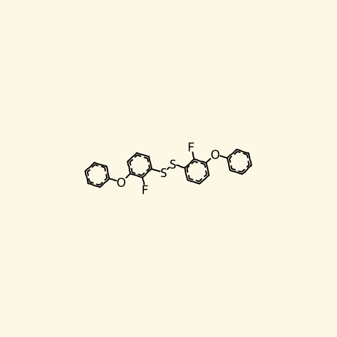 Fc1c(Oc2ccccc2)cccc1SSc1cccc(Oc2ccccc2)c1F